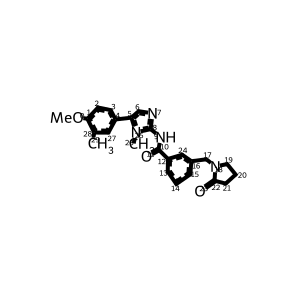 COc1ccc(-c2cnc(NC(=O)c3cccc(CN4CCCC4=O)c3)n2C)cc1C